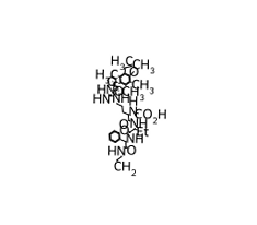 C=CCNC(=O)C(NC(=O)C(CC)NC(=O)C(CCCNC(=N)NS(=O)(=O)c1c(C)c(C)c2c(c1C)CC(C)(C)O2)NC(=O)O)c1ccccc1